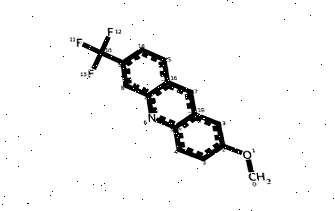 COc1ccc2nc3cc(C(F)(F)F)ccc3cc2c1